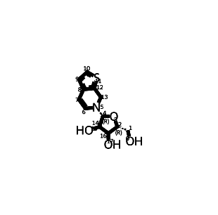 OC[C@H]1O[C@@H](N2C=Cc3ccsc3C2)C(O)C1O